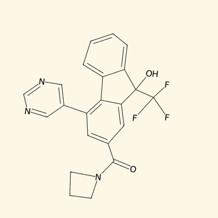 O=C(c1cc(-c2cncnc2)c2c(c1)C(O)(C(F)(F)F)c1ccccc1-2)N1CCC1